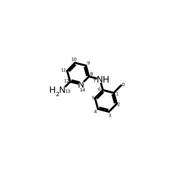 Cc1ccccc1Nc1cccc(N)n1